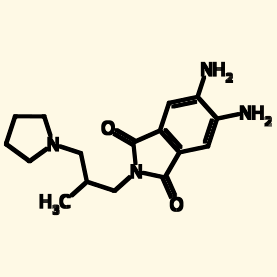 CC(CN1CCCC1)CN1C(=O)c2cc(N)c(N)cc2C1=O